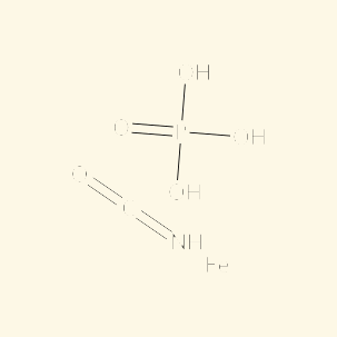 N=C=O.O=P(O)(O)O.[Fe]